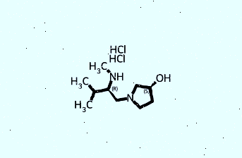 CN[C@@H](CN1CC[C@H](O)C1)C(C)C.Cl.Cl